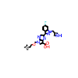 C[Si](C)(C)CCOCn1cc(C(=O)O)c2nc(-c3nn(CC4CNC4)c4cc(F)ccc34)cnc21